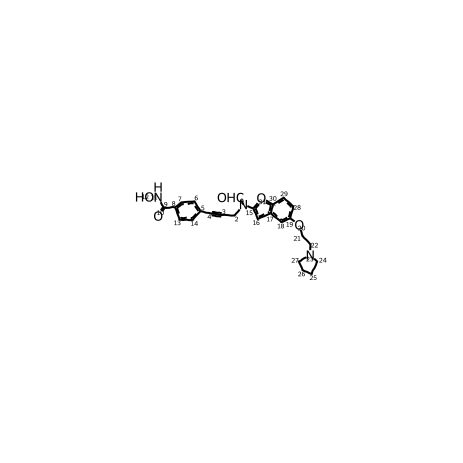 O=CN(CC#Cc1ccc(C(=O)NO)cc1)c1cc2cc(OCCN3CCCC3)ccc2o1